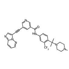 CN1CCN(C(C)(C)c2ccc(NC(=O)c3cncc(C#Cc4cnc5cccnn45)c3)cc2C(F)(F)F)CC1